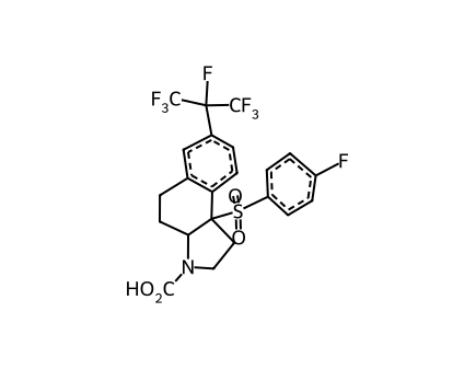 O=C(O)N1CCC2(S(=O)(=O)c3ccc(F)cc3)c3ccc(C(F)(C(F)(F)F)C(F)(F)F)cc3CCC12